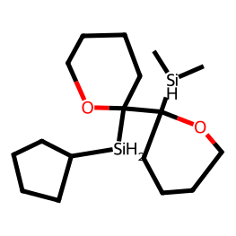 C[SiH](C)C1(C2([SiH2]C3CCCC3)CCCCO2)CCCCO1